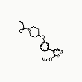 C=CC(=O)N1CCC(Oc2cccc(-c3csnc3OC)c2)CC1